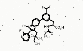 CCn1c(-c2cccnc2C(C)C)c(CC(C)(C)CO)c2cc(-c3cc(C[C@H](NC(=O)OC(C)(C)C)C(=O)O)cc(C(F)F)c3)ccc21